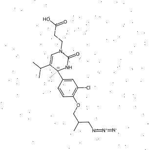 CC(CN=[N+]=[N-])COc1ccc([C@]2(C)NC(=O)N(CCC(=O)O)C=C2C(C)C)cc1Cl